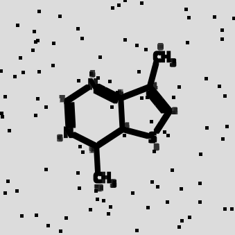 CC1=CSC2C1=NC=NC2C